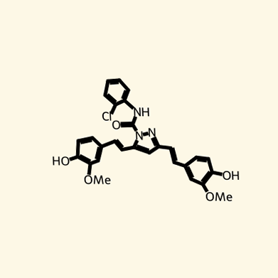 COc1cc(/C=C/c2cc(/C=C/c3ccc(O)c(OC)c3)n(C(=O)Nc3ccccc3Cl)n2)ccc1O